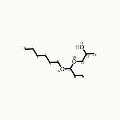 CCCCCCOC(CC)OCC(C)O